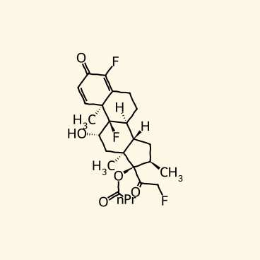 CCCC(=O)O[C@]1(C(=O)CF)[C@H](C)C[C@H]2[C@@H]3CCC4=C(F)C(=O)C=C[C@]4(C)[C@@]3(F)[C@@H](O)C[C@@]21C